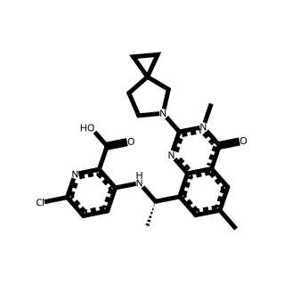 Cc1cc([C@H](C)Nc2ccc(Cl)nc2C(=O)O)c2nc(N3CCC4(CC4)C3)n(C)c(=O)c2c1